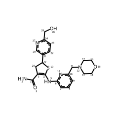 NC(=O)C1=C(Nc2cccc(CN3CCOCC3)n2)SC(c2ccc(CO)nc2)C1